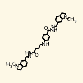 CN1CCc2ccc(/C=N/NC(=O)CCCNc3ccc(C(=O)N/N=C/c4ccc5ccn(C)c5c4)cc3)cc21